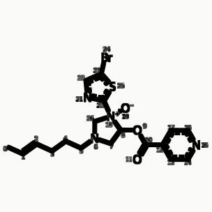 CC=CCCCN1CC(OC(=O)c2ccncc2)[N+]([O-])(c2ncc(Br)s2)C1